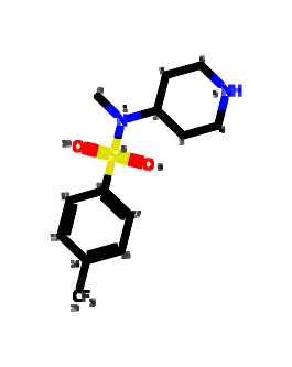 CN(C1CCNCC1)S(=O)(=O)c1ccc(C(F)(F)F)cc1